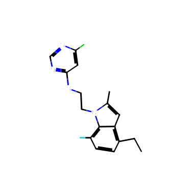 CCc1ccc(F)c2c1cc(C)n2CCNc1cc(Cl)ncn1